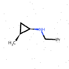 CC(C)CN[C@@H]1C[C@@H]1C